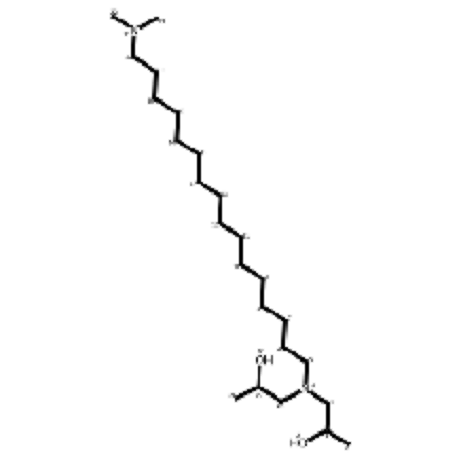 CC(O)CN(CCCCCCCCCCCCCCCCN(C)C)CC(C)O